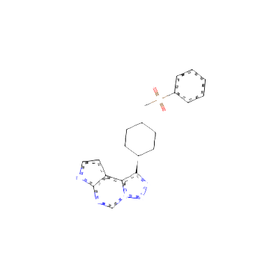 O=S(=O)(C[C@H]1CC[C@H](c2nnn3cnc4[nH]ccc4c23)CC1)c1ccccc1